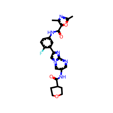 Cc1nc(C)c(C(=O)Nc2ccc(F)c(-c3cn4cc(NC(=O)C5CCOCC5)cnc4n3)c2)o1